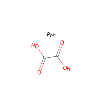 O=C(O)C(=O)O.[Pt+2]